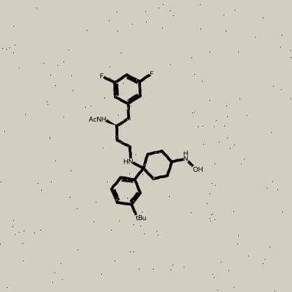 CC(=O)N[C@H](CCNC1(c2cccc(C(C)(C)C)c2)CCC(NO)CC1)Cc1cc(F)cc(F)c1